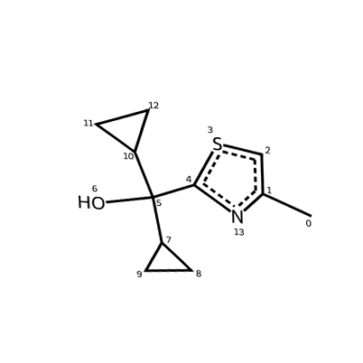 Cc1csc(C(O)(C2CC2)C2CC2)n1